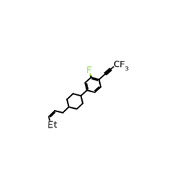 CC/C=C\CC1CCC(c2ccc(C#CC(F)(F)F)c(F)c2)CC1